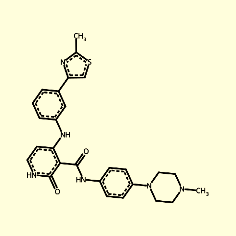 Cc1nc(-c2cccc(Nc3cc[nH]c(=O)c3C(=O)Nc3ccc(N4CCN(C)CC4)cc3)c2)cs1